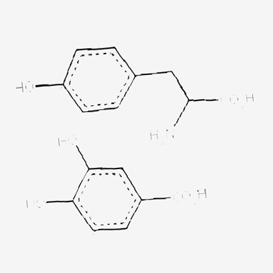 NC(Cc1ccc(O)cc1)C(=O)O.O=C(O)c1ccc(O)c(O)c1